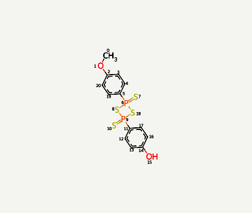 COc1ccc(P2(=S)SP(=S)(c3ccc(O)cc3)S2)cc1